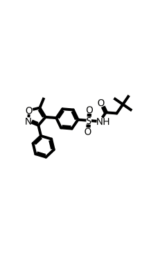 Cc1onc(-c2ccccc2)c1-c1ccc(S(=O)(=O)NC(=O)CC(C)(C)C)cc1